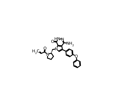 C=CC(=O)N1CCC[C@@H]1Cn1cc(-c2ccc(Oc3ccccc3)cc2)c2c(N)n[nH]c(=O)c21